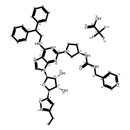 CCc1cc([C@H]2O[C@@H](n3cnc4c(NCC(c5ccccc5)c5ccccc5)nc(N5CC[C@@H](NC(=O)NCc6ccncc6)C5)nc43)[C@H](O)[C@@H]2O)on1.O=C(O)C(F)(F)F